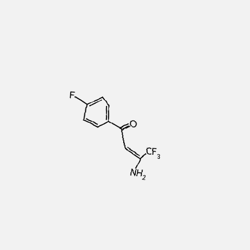 N/C(=C/C(=O)c1ccc(F)cc1)C(F)(F)F